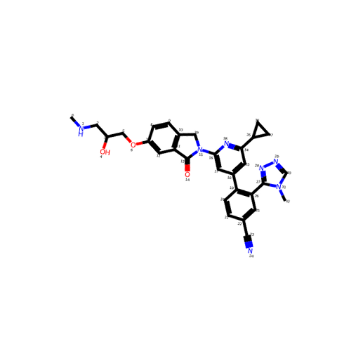 CNCC(O)COc1ccc2c(c1)C(=O)N(c1cc(-c3ccc(C#N)cc3-c3nncn3C)cc(C3CC3)n1)C2